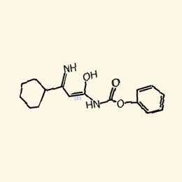 N=C(/C=C(\O)NC(=O)Oc1ccccc1)C1CCCCC1